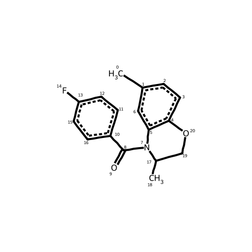 Cc1ccc2c(c1)N(C(=O)c1ccc(F)cc1)C(C)CO2